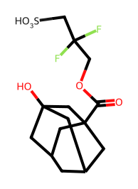 O=C(OCC(F)(F)CS(=O)(=O)O)C12CC3CC(CC(O)(C3)C1)C2